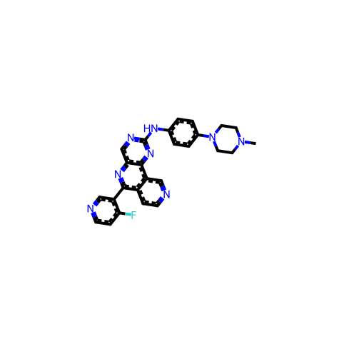 CN1CCN(c2ccc(Nc3ncc4nc(-c5cnccc5F)c5ccncc5c4n3)cc2)CC1